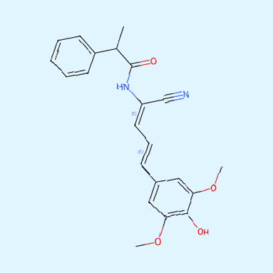 COc1cc(/C=C/C=C(\C#N)NC(=O)C(C)c2ccccc2)cc(OC)c1O